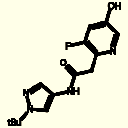 CC(C)(C)n1cc(NC(=O)Cc2ncc(O)cc2F)cn1